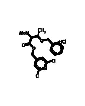 CN[C@H](C(=O)OCc1cc(Cl)nc(Cl)c1)[C@@H](C)OCc1ccccc1.Cl